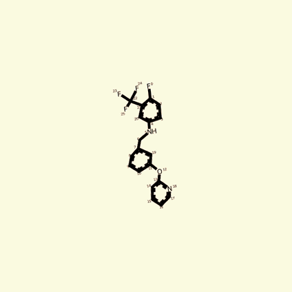 Fc1ccc(NCc2cccc(Oc3ccccn3)c2)cc1C(F)(F)F